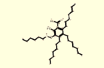 CCCCCCCc1c(CCCCCCC)c(OOCCCCCC)c(O)c(C(=O)O)c1CCCCCCC